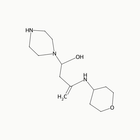 C=C(CC(O)N1CCNCC1)NC1CCOCC1